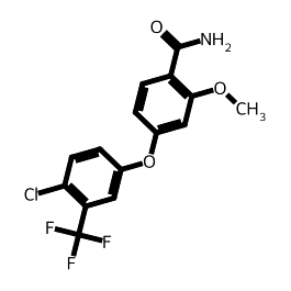 COc1cc(Oc2ccc(Cl)c(C(F)(F)F)c2)ccc1C(N)=O